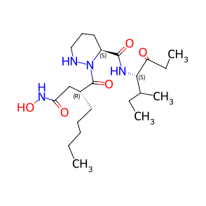 CCCCC[C@H](CC(=O)NO)C(=O)N1NCCC[C@H]1C(=O)N[C@H](C(=O)CC)C(C)CC